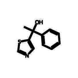 CC(O)(c1ccccc1)c1cncs1